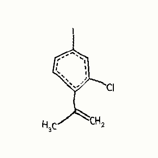 C=C(C)c1ccc(I)cc1Cl